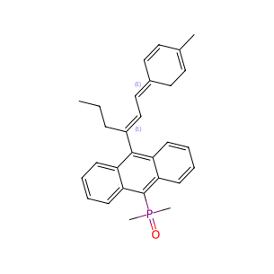 CCC/C(=C\C=C1\C=CC(C)=CC1)c1c2ccccc2c(P(C)(C)=O)c2ccccc12